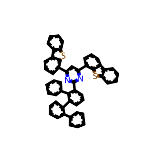 c1ccc(-c2ccccc2-c2cccc(-c3nc(-c4cccc5c4sc4ccccc45)cc(-c4cccc5c4sc4ccccc45)n3)c2-c2ccccc2)cc1